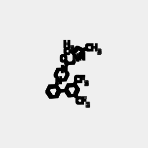 Cc1cc(C)n(CC(=O)N2CCN(c3ccccc3-c3cc(C(F)(F)F)cc(C(F)(F)F)c3)CC2)n1